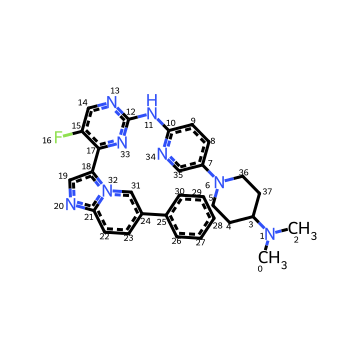 CN(C)C1CCN(c2ccc(Nc3ncc(F)c(-c4cnc5ccc(-c6ccccc6)cn45)n3)nc2)CC1